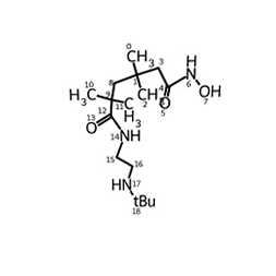 CC(C)(CC(=O)NO)CC(C)(C)C(=O)NCCNC(C)(C)C